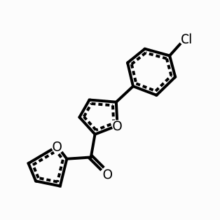 O=C(c1ccco1)c1ccc(-c2ccc(Cl)cc2)o1